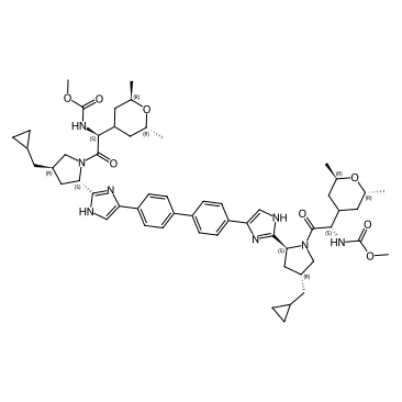 COC(=O)N[C@H](C(=O)N1C[C@H](CC2CC2)C[C@H]1c1nc(-c2ccc(-c3ccc(-c4c[nH]c([C@@H]5C[C@@H](CC6CC6)CN5C(=O)[C@@H](NC(=O)OC)C5C[C@@H](C)O[C@H](C)C5)n4)cc3)cc2)c[nH]1)C1C[C@@H](C)O[C@H](C)C1